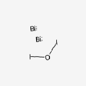 IOI.[Bi].[Bi]